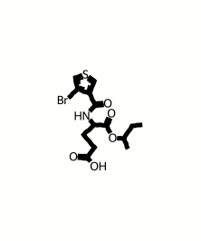 CCC(C)OC(=O)C(CCC(=O)O)NC(=O)c1cscc1Br